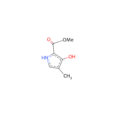 COC(=O)c1[nH]cc(C)c1O